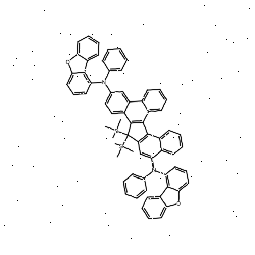 C[Si](C)(C)C1([Si](C)(C)C)c2cc(N(c3ccccc3)c3cccc4oc5ccccc5c34)c3ccccc3c2-c2c1c1ccc(N(c3ccccc3)c3cccc4oc5ccccc5c34)cc1c1ccccc21